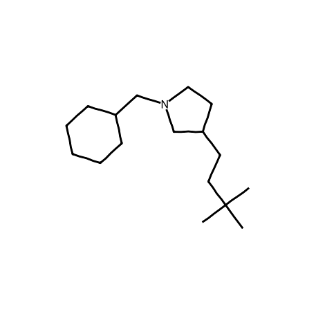 CC(C)(C)CCC1CCN(CC2CCCCC2)C1